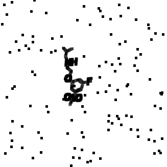 CC(C)CNCCOc1cc(F)cc(S(C)(=O)=O)c1